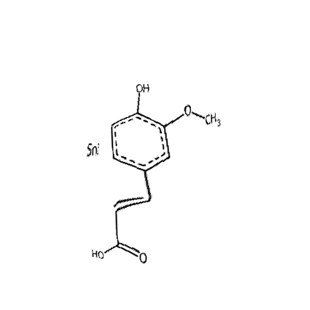 COc1cc(/C=C/C(=O)O)ccc1O.[Sn]